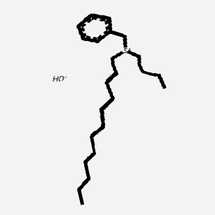 CCCCCCCCCCCC[S+](CCCC)Cc1ccccc1.[OH-]